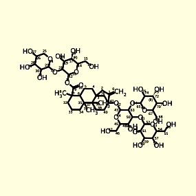 C=C1CC23CCC4C(C)(C(=O)OC5OC(CO)[C@H](O)C(O)C5OC5OCC(O)C(O)C5O)CCCC4(C)C2(C)CCC1(OC1OC(CO)[C@H](O)C(OC2OC(CO)C(O)C(O)C2O)C1OC1OC(CO)C(O)[C@@H](O)C1O)C3